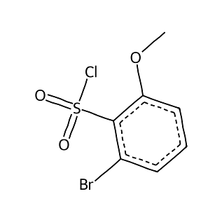 COc1cccc(Br)c1S(=O)(=O)Cl